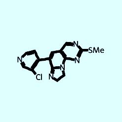 CSc1ncc2c(n1)N1CCN=C1C(c1ccncc1Cl)=C2